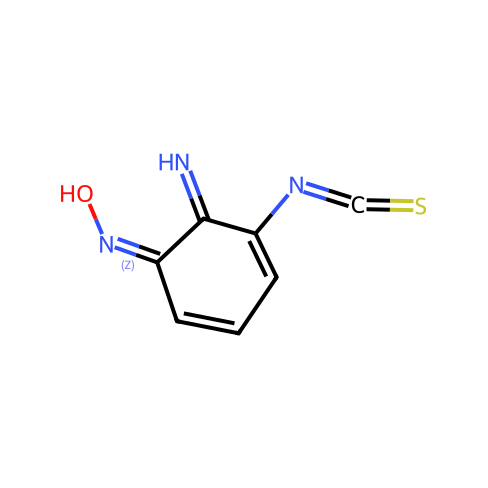 N=C1C(N=C=S)=CC=C/C1=N/O